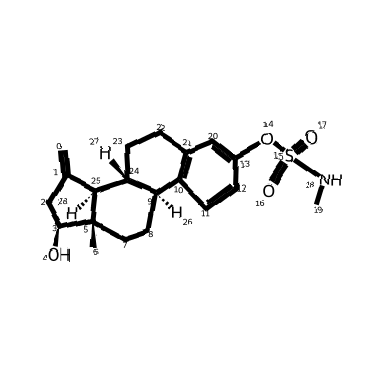 C=C1C[C@H](O)[C@@]2(C)CC[C@@H]3c4ccc(OS(=O)(=O)NC)cc4CC[C@H]3[C@H]12